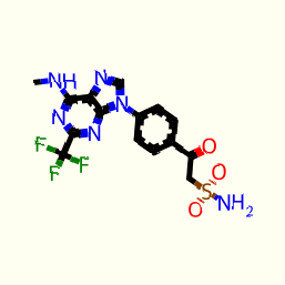 CNc1nc(C(F)(F)F)nc2c1ncn2-c1ccc(C(=O)CS(N)(=O)=O)cc1